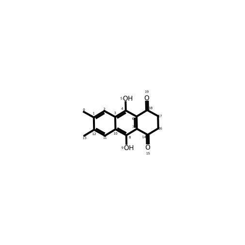 Cc1cc2c(O)c3c(c(O)c2cc1C)C(=O)CCC3=O